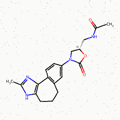 CC(=O)NC[C@H]1CN(c2ccc3c(c2)CCCc2[nH]c(C)nc2-3)C(=O)O1